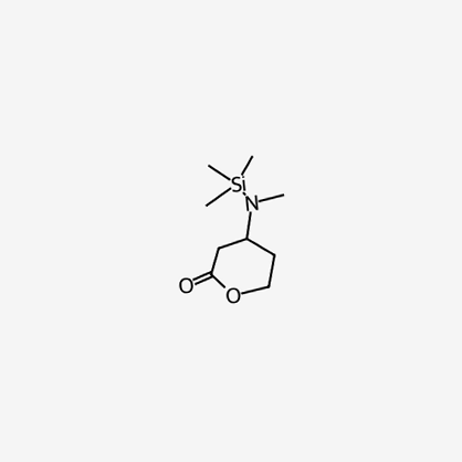 CN(C1CCOC(=O)C1)[Si](C)(C)C